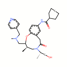 C[C@@H]1CN([C@@H](C)CO)C(=O)Cc2cc(NC(=O)C3CCCCC3)ccc2OC1CN(C)Cc1ccncc1